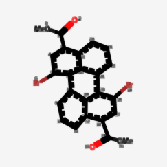 COC(=O)c1cc(Br)c2c3cccc4c(C(=O)OC)cc(Br)c(c5cccc1c52)c43